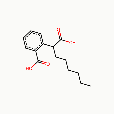 CCCCCCC(C(=O)O)c1ccccc1C(=O)O